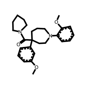 COc1cccc(C2(C(=O)N3CCCCC3)CCCN(c3ccccc3OC)CC2)c1